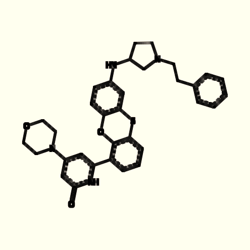 O=c1cc(N2CCOCC2)cc(-c2cccc3c2Oc2ccc(NC4CCN(CCc5ccccc5)C4)cc2S3)[nH]1